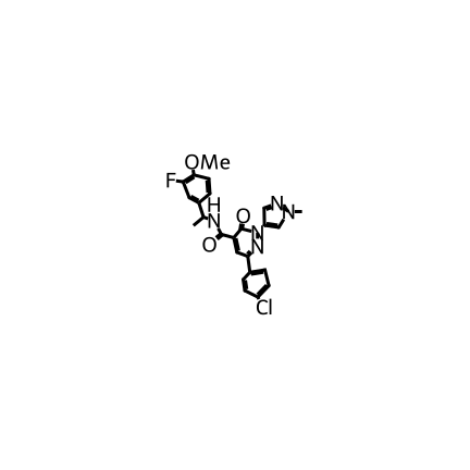 COc1ccc(C(C)NC(=O)c2cc(-c3ccc(Cl)cc3)nn(-c3cnn(C)c3)c2=O)cc1F